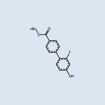 CCCCOC(=O)c1ccc(-c2ccc(CCC)cc2F)cc1